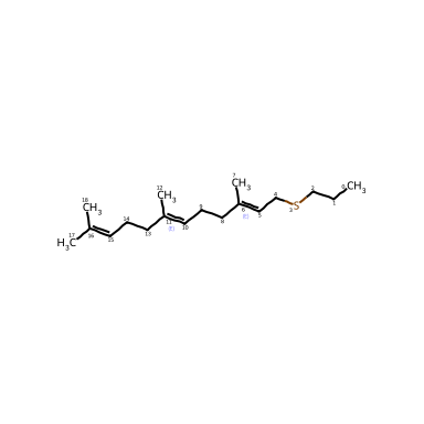 CCCSC/C=C(\C)CC/C=C(\C)CCC=C(C)C